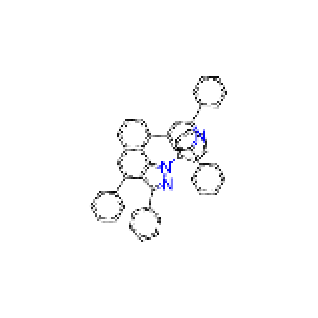 c1ccc(-c2cc(-c3cccc4cc(-c5ccccc5)c5c(-c6ccccc6)nn(-c6ccccc6)c5c34)cc(-c3ccccc3)n2)cc1